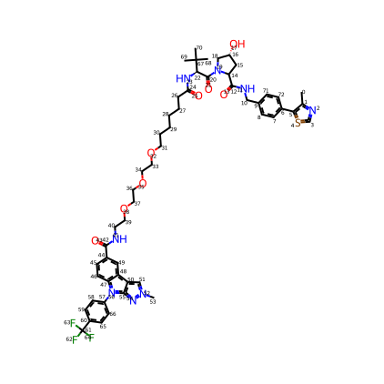 Cc1ncsc1-c1ccc(CNC(=O)C2C[C@@H](O)CN2C(=O)[C@@H](NC(=O)CCCCCCOCCOCCOCCNC(=O)c2ccc3c(c2)c2cn(C)nc2n3-c2ccc(C(F)(F)F)cc2)C(C)(C)C)cc1